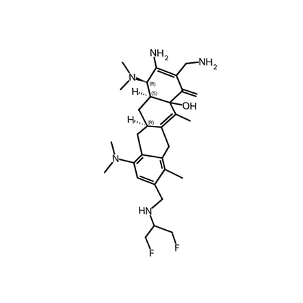 C=C1C(CN)=C(N)[C@H](N(C)C)[C@@H]2C[C@@H]3Cc4c(N(C)C)cc(CNC(CF)CF)c(C)c4CC3=C(C)C12O